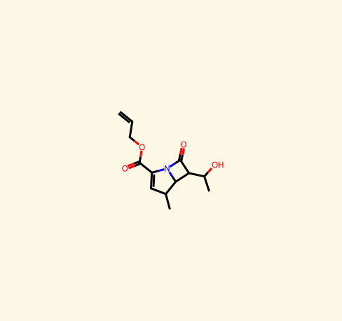 C=CCOC(=O)C1=CC(C)C2C(C(C)O)C(=O)N12